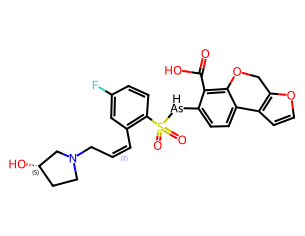 O=C(O)c1c([AsH]S(=O)(=O)c2ccc(F)cc2/C=C\CN2CC[C@H](O)C2)ccc2c1OCc1occc1-2